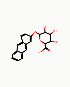 O=C(O)C1OC(Oc2ccc3cc4ccccc4cc3c2)C(O)C(O)C1O